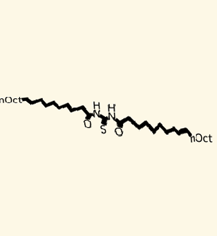 CCCCCCCCC=CCCCCCCCC(=O)NC(=S)NC(=O)CCCCCCCC=CCCCCCCCC